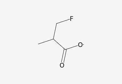 CC(CF)C([O])=O